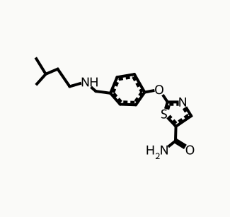 CC(C)CCNCc1ccc(Oc2ncc(C(N)=O)s2)cc1